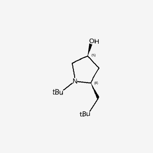 CC(C)(C)C[C@@H]1C[C@H](O)CN1C(C)(C)C